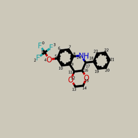 FC(F)(F)Oc1ccc2c(c1)C1OCCOC1C(c1ccccc1)N2